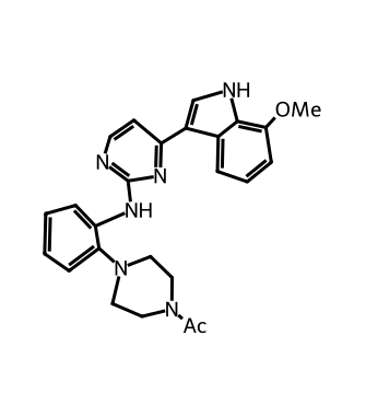 COc1cccc2c(-c3ccnc(Nc4ccccc4N4CCN(C(C)=O)CC4)n3)c[nH]c12